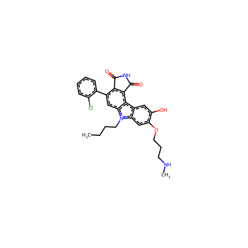 CCCCn1c2cc(OCCCNC)c(O)cc2c2c3c(c(-c4ccccc4Cl)cc21)C(=O)NC3=O